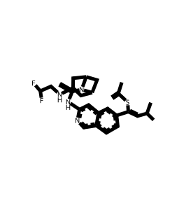 C=C(C)S/C(=C\C(C)C)c1ccc2cnc(NC(=C)N3C4CC(NCC(F)F)CC3C4)cc2c1